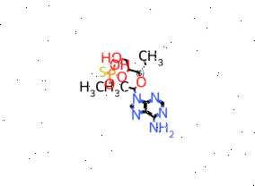 CC[C@H](OC(C)n1cnc2c(N)ncnc21)C(CO)OP(O)(=S)OC